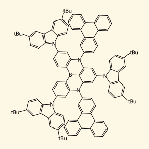 CC(C)(C)c1ccc2c(c1)c1cc(C(C)(C)C)ccc1n2-c1ccc2c(c1)N(c1ccc3c4ccccc4c4ccccc4c3c1)c1cc(-n3c4ccc(C(C)(C)C)cc4c4cc(C(C)(C)C)ccc43)cc3c1B2c1ccc(-n2c4ccc(C(C)(C)C)cc4c4cc(C(C)(C)C)ccc42)cc1N3c1ccc2c3ccccc3c3ccccc3c2c1